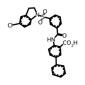 O=C(Nc1ccc(-c2ccccc2)cc1C(=O)O)c1cccc(S(=O)(=O)N2CCc3cc(Cl)ccc32)c1